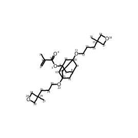 C=C(C)C(=O)OC12CC3CC(OCCCC4(C)COC4)(CC(OCCCC4(C)COC4)(C3)C1)C2